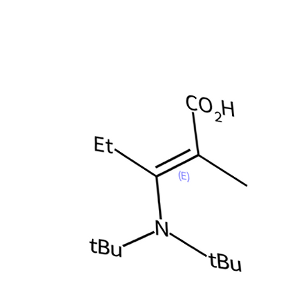 CC/C(=C(/C)C(=O)O)N(C(C)(C)C)C(C)(C)C